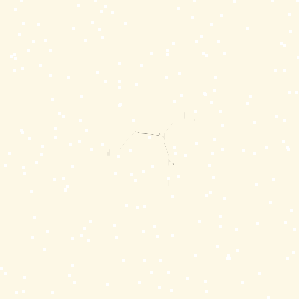 CCCCN(C)N.Cl